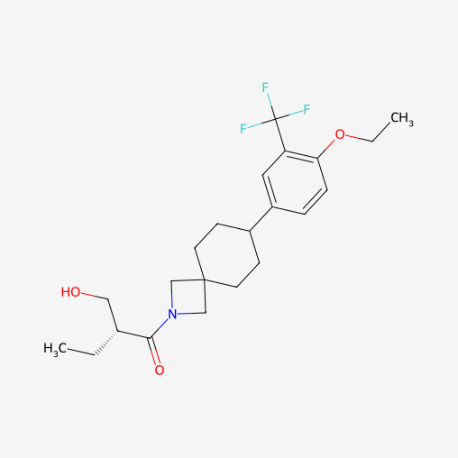 CCOc1ccc(C2CCC3(CC2)CN(C(=O)[C@H](CC)CO)C3)cc1C(F)(F)F